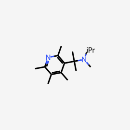 Cc1nc(C)c(C(C)(C)N(C)C(C)C)c(C)c1C